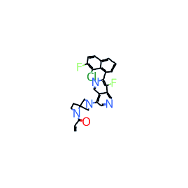 C=CC(=O)N1CCC12CN(c1cncc3c(F)c(-c4cccc5ccc(F)c(Cl)c45)ncc13)C2